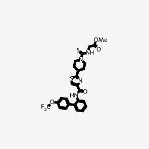 COC(=O)CNC(=S)N1CCC(c2nc(C(=O)Nc3ccccc3-c3ccc(OC(F)(F)F)cc3)cs2)CC1